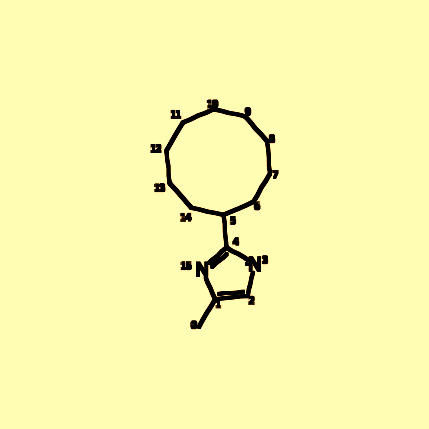 CC1=C[N]C(C2CCCCCCCCC2)=N1